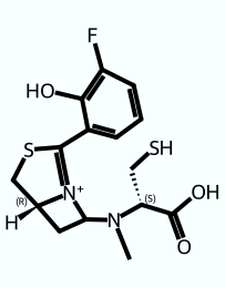 CN(C1C[C@@H]2CSC(c3cccc(F)c3O)=[N+]12)[C@H](CS)C(=O)O